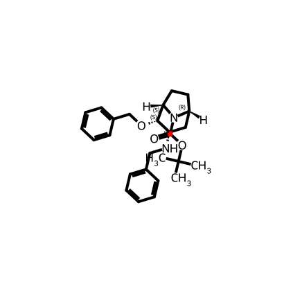 CC(C)(C)OC(=O)N1[C@@H]2CC[C@H]1[C@@H](OCc1ccccc1)[C@@H](NCc1ccccc1)C2